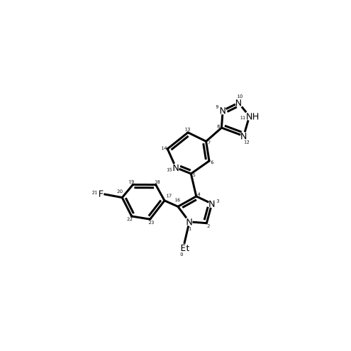 CCn1cnc(-c2cc(-c3nn[nH]n3)ccn2)c1-c1ccc(F)cc1